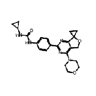 O=C(Nc1ccc(-c2nc(N3CCOCC3)c3c(n2)C2(CC2)OC3)cc1)NC1CC1